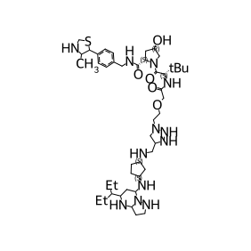 CCC(CC)C1CC(N[C@H]2CC[C@H](NCC3CN(CCOCC(=O)N[C@H](C(=O)N4C[C@H](O)C[C@H]4C(=O)NCc4ccc(C5SCNC5C)cc4)C(C)(C)C)NN3)C2)N2NCCC2N1